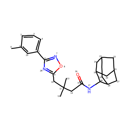 Cc1cccc(-c2noc(CC(C)(C)CC(=O)NC3C4CC5CC(C4)CC3C5)n2)c1